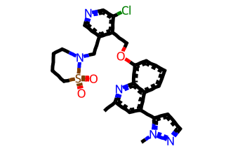 Cc1cc(-c2ccnn2C)c2cccc(OCc3c(Cl)cncc3CN3CCCCS3(=O)=O)c2n1